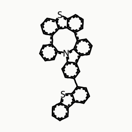 c1ccc2c(c1)sc1c(-c3ccc4c(c3)c3cccc5c6cccc7sc8cccc(c9ccccc9n4c53)c8c76)cccc12